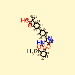 CC(OC(=O)NC1=C(c2ccc(-c3ccc(C4(C(=O)O)CC4)cc3)cc2)N=NC1=O)c1ccccc1